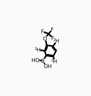 [2H]c1cc([2H])c(B(O)O)c([2H])c1OC(F)(F)F